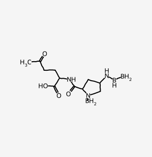 BBNC1CC(C(=O)NC(CCC(C)=O)C(=O)O)N(B)C1